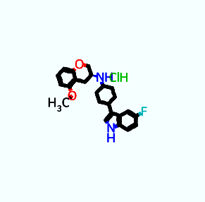 COc1cccc2c1C[C@H](NC1CCC(c3c[nH]c4ccc(F)cc34)CC1)CO2.Cl